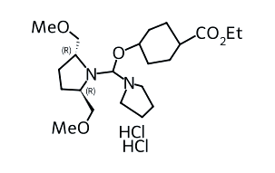 CCOC(=O)C1CCC(OC(N2CCCC2)N2[C@@H](COC)CC[C@@H]2COC)CC1.Cl.Cl